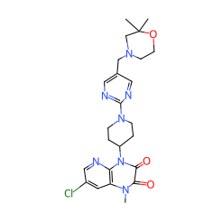 Cn1c(=O)c(=O)n(C2CCN(c3ncc(CN4CCOC(C)(C)C4)cn3)CC2)c2ncc(Cl)cc21